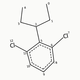 CCC(CC)c1c(Cl)[c]ccc1Cl